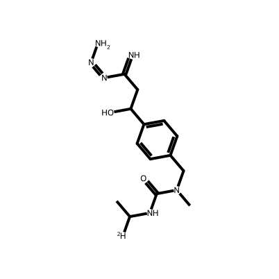 [2H]C(C)NC(=O)N(C)Cc1ccc(C(O)CC(=N)/N=N\N)cc1